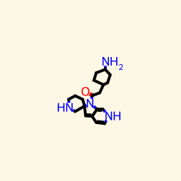 NC1CCC(CC(=O)N2C3=CNC=CC3=CC23CCCNC3)CC1